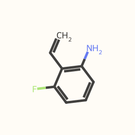 C=Cc1c(N)cccc1F